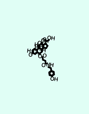 C[C@]12CCC(=O)C=C1[C@H](OC(=O)CCC(=O)NCCc1ccc(O)cc1)C[C@@H]1[C@@H]2[C@@H]2C[C@]3(C(O)O2)[C@@H](C(=O)CO)CC[C@@H]13